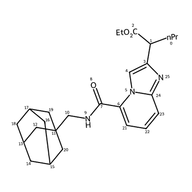 CCCC(C(=O)OCC)c1cn2c(C(=O)NCC34CC5CC(CC(C5)C3)C4)cccc2n1